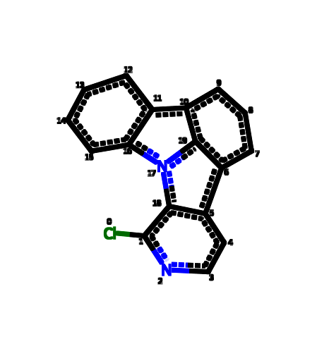 Clc1nccc2c3cccc4c5ccccc5n(c12)c43